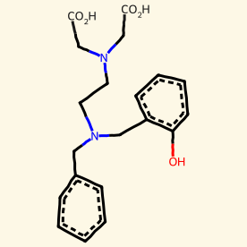 O=C(O)CN(CCN(Cc1ccccc1)Cc1ccccc1O)CC(=O)O